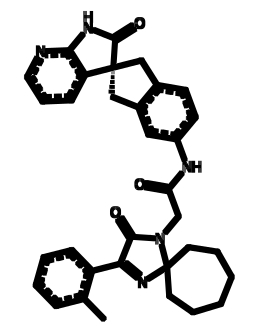 Cc1ccccc1C1=NC2(CCCCCC2)N(CC(=O)Nc2ccc3c(c2)C[C@@]2(C3)C(=O)Nc3ncccc32)C1=O